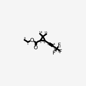 CCOC(=O)C1C(C#CC(F)(F)F)C1(C)C